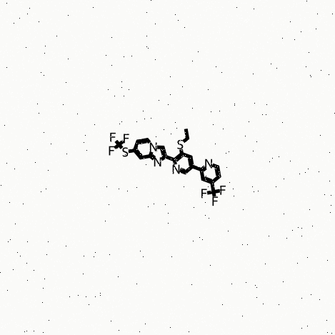 CCSc1cc(-c2cc(C(F)(F)F)ccn2)cnc1-c1cn2ccc(SC(F)(F)F)cc2n1